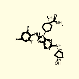 C[C@]1(C(N)=O)CC[C@@H](n2c(Nc3c(F)cc(F)cc3F)nc3cnc(N[C@@H]4CC[C@@H](O)C4)nc32)CC1